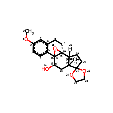 COc1ccc2c(c1)CC[C@@]13O[C@@]21[C@H](O)CC1(C)[C@H]3CCC12OCCO2